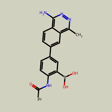 Cc1nnc(N)c2ccc(-c3ccc(NC(=O)C(C)C)c(B(O)O)c3)cc12